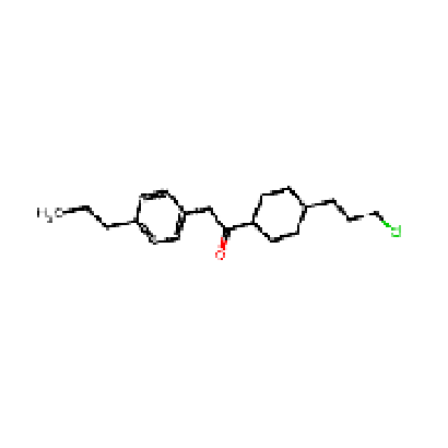 CCCc1ccc(CC(=O)C2CCC(CCCCl)CC2)cc1